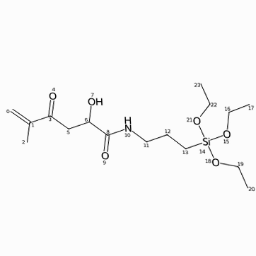 C=C(C)C(=O)CC(O)C(=O)NCCC[Si](OCC)(OCC)OCC